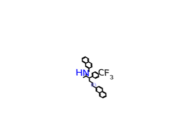 CC(NCc1ccc2ccccc2c1)C(C/C=C/c1ccc2ccccc2c1)c1ccc(C(F)(F)F)cc1